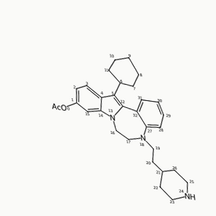 CC(=O)Oc1ccc2c(C3CCCCC3)c3n(c2c1)CCN(CCC1CCNCC1)c1ccccc1-3